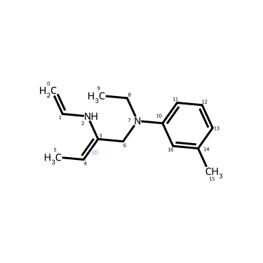 C=CN/C(=C\C)CN(CC)c1cccc(C)c1